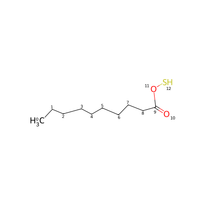 CCCCCCCCCC(=O)OS